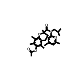 CC(=O)Oc1c(C)c(C)c2c(c1C)CCC(C)(C(=O)N(CC(C)C)c1cc(C)cc(C)n1)O2